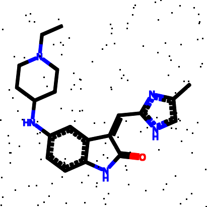 CCN1CCC(Nc2ccc3c(c2)C(=Cc2nc(C)c[nH]2)C(=O)N3)CC1